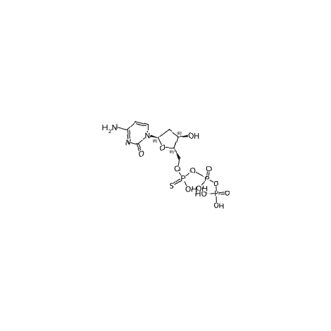 Nc1ccn([C@H]2C[C@@H](O)[C@@H](COP(O)(=S)OP(=O)(O)OP(=O)(O)O)O2)c(=O)n1